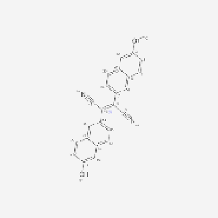 COc1ccc2cc(/C(C#N)=C(\C#N)c3ccc4cc(O)ccc4c3)ccc2c1